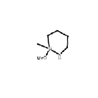 CO[Si]1(C)CCCCN1